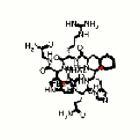 CCCC[C@H](NC(C)=O)C(=O)N[C@@H](CCC(N)=O)C(=O)N[C@@H](Cc1cnc[nH]1)C(=O)N[C@H](Cc1ccccc1)C(=O)N[C@@H](CCCNC(=N)N)C(=O)NC(C(=O)NCC(N)=O)c1c[nH]c2ccccc12